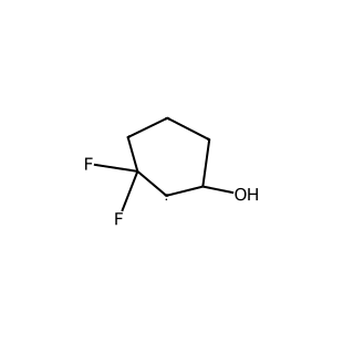 OC1[CH]C(F)(F)CCC1